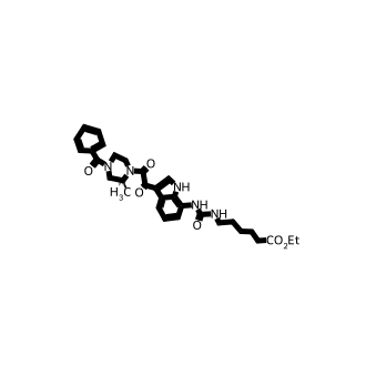 CCOC(=O)CCCCCNC(=O)Nc1cccc2c(C(=O)C(=O)N3CCN(C(=O)c4ccccc4)C[C@H]3C)c[nH]c12